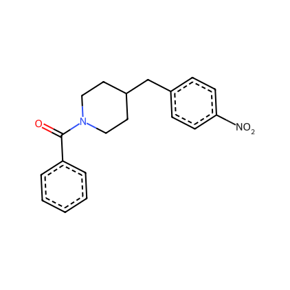 O=C(c1ccccc1)N1CCC(Cc2ccc([N+](=O)[O-])cc2)CC1